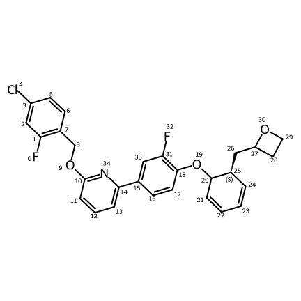 Fc1cc(Cl)ccc1COc1cccc(-c2ccc(OC3C=CC=C[C@@H]3CC3CCO3)c(F)c2)n1